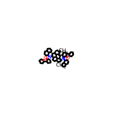 Cc1cc(N(c2cccc3ccccc23)c2cccc3c2oc2ccccc23)c2cc3c4c(cc(N(c5cccc6ccccc56)c5cccc6c5oc5ccccc56)c5ccc1c2c54)CCC3(C)C